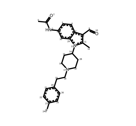 CC(=O)Nc1ccc2c(C=O)c(C)n(C3CCN(CCc4ccc(F)cc4)CC3)c2c1